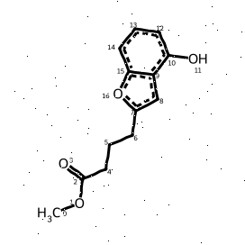 COC(=O)CCCc1cc2c(O)cccc2o1